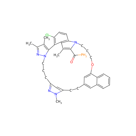 Cc1nn2c(c1C)-c1c(Cl)ccc3c1c(C)c(C(=O)P)n3CCCOc1cc(cc3ccccc13)CCc1cc(nn1C)CCC2